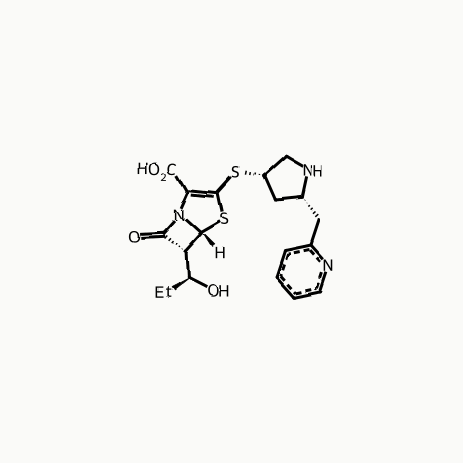 CC[C@H](O)[C@@H]1C(=O)N2C(C(=O)O)=C(S[C@@H]3CN[C@H](Cc4ccccn4)C3)S[C@H]12